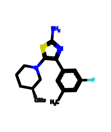 CO[C@H]1CCCN(c2sc(N)nc2-c2cc(C)cc(F)c2)C1